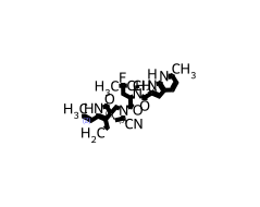 C=CC1=C(/C=C\C)NC(=O)[C@]12C[C@@H](C#N)N(C(=O)C(CC(C)(C)F)N(C)C(=O)c1cc3ccc(C)nc3[nH]1)C2